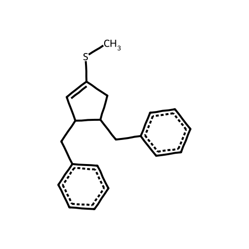 CSC1=CC(Cc2ccccc2)C(Cc2ccccc2)C1